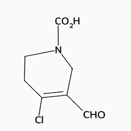 O=CC1=C(Cl)CCN(C(=O)O)C1